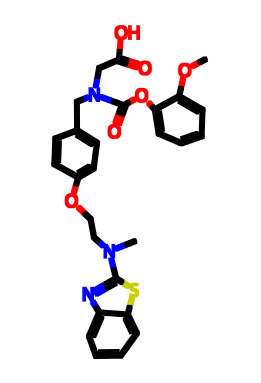 COc1ccccc1OC(=O)N(CC(=O)O)Cc1ccc(OCCN(C)c2nc3ccccc3s2)cc1